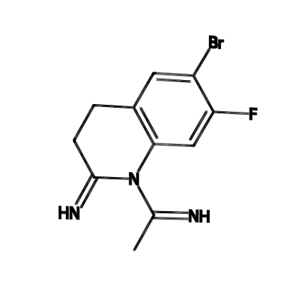 CC(=N)N1C(=N)CCc2cc(Br)c(F)cc21